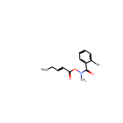 COCC=CC(=O)ON(C)C(=O)c1ccccc1C(C)=O